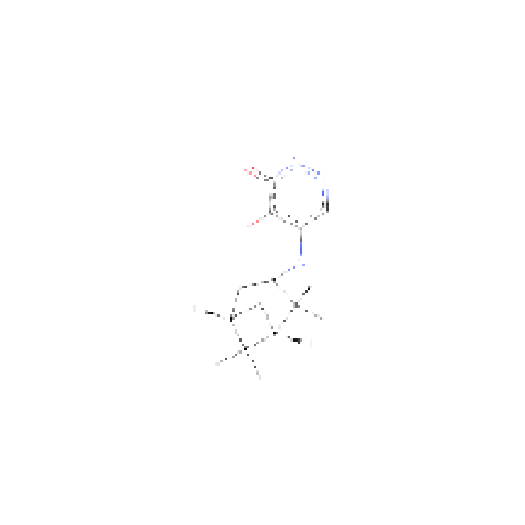 C[C@@H]1[C@H]2C[C@@H](C[C@H]1Nc1cn[nH]c(=O)c1O)C2(C)C